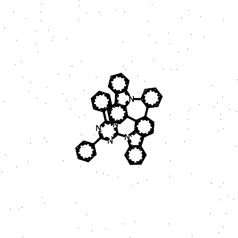 c1ccc(-c2nc(-c3ccccc3)nc(-n3c4ccccc4c4ccc5c(c43)-c3cccc4c6ccccc6n(c34)-c3ccccc3-5)n2)cc1